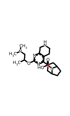 CC(CN(C)C)Oc1nc2c(c(N3CC4CCC(C3)N4C(=O)O)n1)CCNC2